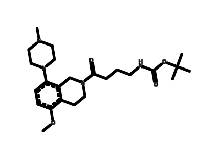 COc1ccc(N2CCN(C)CC2)c2c1CCN(C(=O)CCCNC(=O)OC(C)(C)C)C2